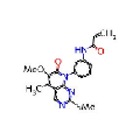 C=CC(=O)Nc1cccc(-n2c(=O)c(OC)c(C)c3cnc(SC)nc32)c1